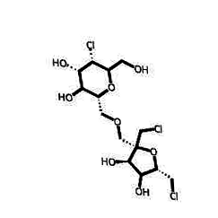 OCC1O[C@H](COC[C@]2(CCl)O[C@H](CCl)C(O)[C@H]2O)C(O)[C@H](O)[C@@H]1Cl